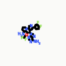 Nc1ncnc2c1ncn2Cc1cc(-c2ccc(F)c(F)c2)ncc1N1CCC[C@@H](N)C1COCC(F)F